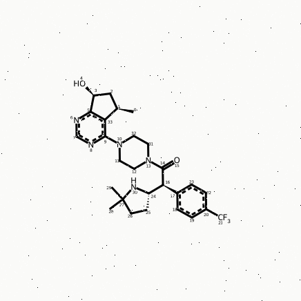 C[C@@H]1C[C@H](O)c2ncnc(N3CCN(C(=O)[C@@H](c4ccc(C(F)(F)F)cc4)[C@@H]4CCC(C)(C)N4)CC3)c21